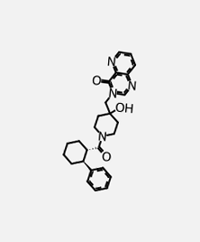 O=C([C@H]1CCCC[C@@H]1c1ccccc1)N1CCC(O)(Cn2cnc3cccnc3c2=O)CC1